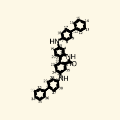 O=c1[nH]c2cc(Nc3ccc(-c4ccccc4)cc3)ccc2c2ccc(Nc3ccc(-c4ccccc4)cc3)cc12